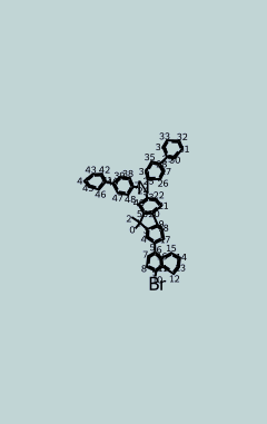 CC1(C)c2cc(-c3ccc(Br)c4ccccc34)ccc2-c2ccc(N(c3ccc(-c4ccccc4)cc3)c3ccc(-c4ccccc4)cc3)cc21